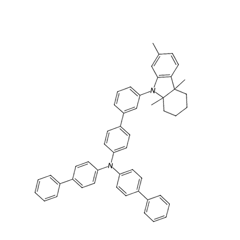 Cc1ccc2c(c1)N(c1cccc(-c3ccc(N(c4ccc(-c5ccccc5)cc4)c4ccc(-c5ccccc5)cc4)cc3)c1)C1(C)CCCCC21C